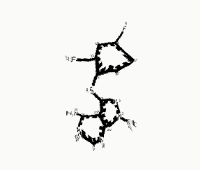 CCn1nc(Sc2ccc(F)cc2F)c2c(N)ncnc21